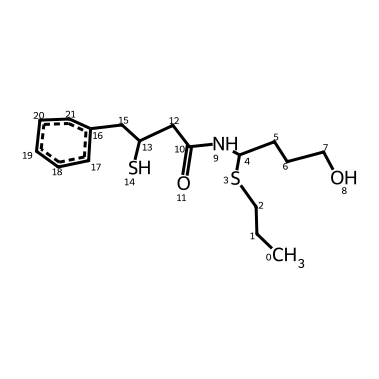 CCCSC(CCCO)NC(=O)CC(S)Cc1ccccc1